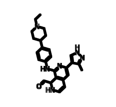 CCN1CCC(c2ccc(Nc3nc(-c4c[nH]nc4C)cc4c3C(C=O)NC=C4)cc2)CC1